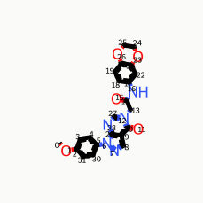 COc1ccc(-n2ncc3c(=O)n(CC(=O)Nc4ccc5c(c4)OCCO5)cnc32)cc1